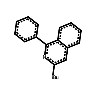 [CH2]CC(C)c1cc2ccccc2c(-c2ccccc2)n1